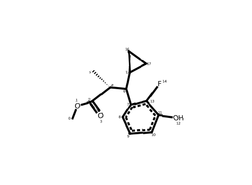 COC(=O)[C@H](C)C(c1cccc(O)c1F)C1CC1